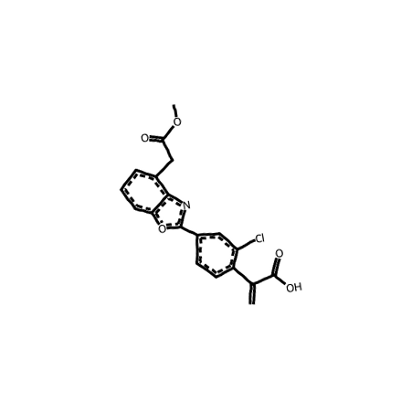 C=C(C(=O)O)c1ccc(-c2nc3c(CC(=O)OC)cccc3o2)cc1Cl